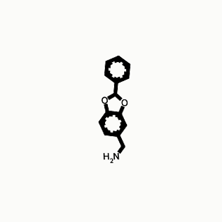 NCc1ccc2c(c1)OC(c1ccccc1)O2